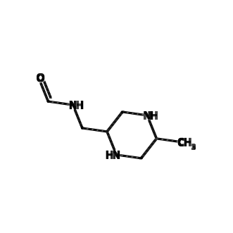 CC1CNC(CNC=O)CN1